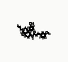 C=CCN1CCC2(c3cccc(O)c3)CC(N(C)C(=O)/C=C/c3cccc(OC)c3)CCC2(OC)C1